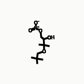 CC(C)(C)COC(C)(C)C(O)CO[N+](=O)[O-]